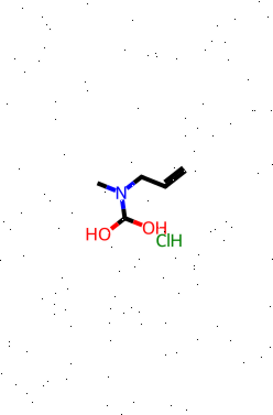 C=CCN(C)C(O)O.Cl